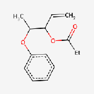 C=CC(OC(=O)CC)C(C)Oc1ccccc1